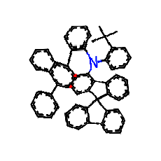 CC(C)(C)c1ccccc1N(c1ccccc1-c1ccc(-c2ccccc2)c2ccccc12)c1cccc2c1-c1ccccc1C21c2ccccc2-c2ccccc21